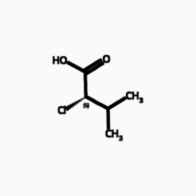 CC(C)[C@H](Cl)C(=O)O